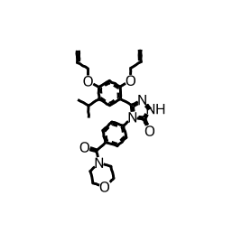 C=CCOc1cc(OCC=C)c(C(C)C)cc1-c1n[nH]c(=O)n1-c1ccc(C(=O)N2CCOCC2)cc1